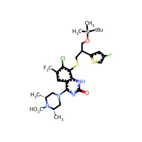 C[C@@H]1CN(c2nc(=O)[nH]c3c(SCC(CO[Si](C)(C)C(C)(C)C)c4cc(F)cs4)c(Cl)c(C(F)(F)F)cc23)C[C@H](C)N1C(=O)O